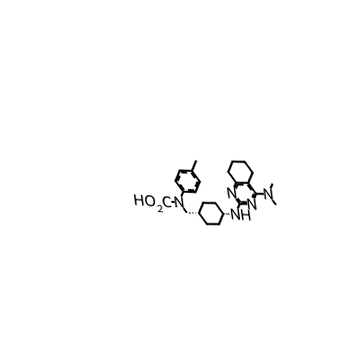 Cc1ccc(N(C[C@H]2CC[C@@H](Nc3nc4c(c(N(C)C)n3)CCCC4)CC2)C(=O)O)cc1